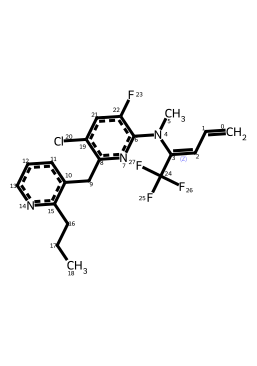 C=C/C=C(\N(C)c1nc(Cc2cccnc2CCC)c(Cl)cc1F)C(F)(F)F